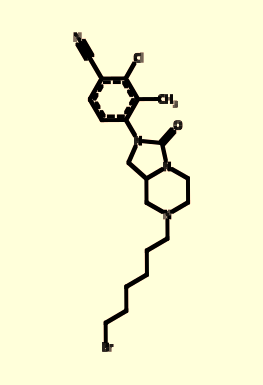 Cc1c(N2CC3CN(CCCCCCBr)CCN3C2=O)ccc(C#N)c1Cl